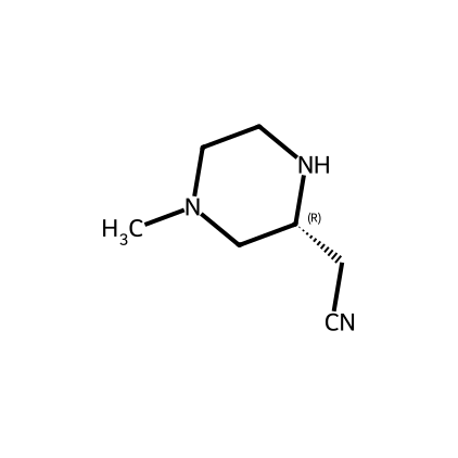 CN1CCN[C@H](CC#N)C1